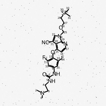 CN(C)CCNC(=O)Nc1cc(F)c(Oc2ccnc3c2c(C#N)cn3COCC[Si](C)(C)C)c(F)c1